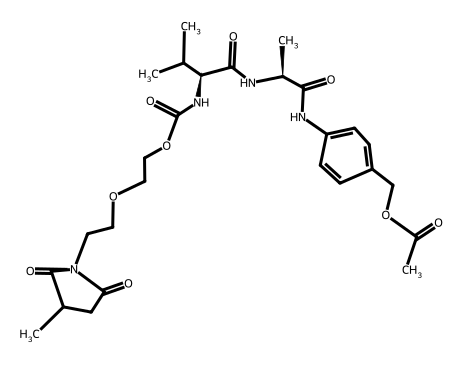 CC(=O)OCc1ccc(NC(=O)[C@H](C)NC(=O)[C@@H](NC(=O)OCCOCCN2C(=O)CC(C)C2=O)C(C)C)cc1